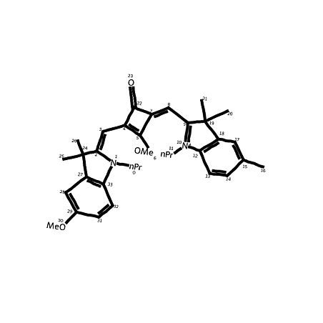 CCCN1/C(=C\C2=C(OC)C(=C\C3=[N+](CCC)c4ccc(C)cc4C3(C)C)/C2=O)C(C)(C)c2cc(OC)ccc21